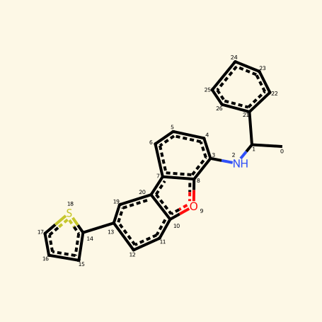 CC(Nc1cccc2c1oc1ccc(-c3cccs3)cc12)c1ccccc1